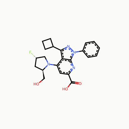 O=C(O)c1cc(N2C[C@@H](F)C[C@@H]2CO)c2c(C3CCC3)nn(-c3ccccc3)c2n1